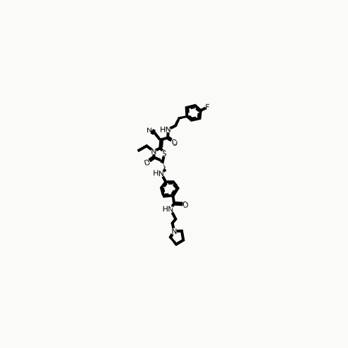 CCN1C(=O)[C@@H](CNc2ccc(C(=O)NCCN3CCCC3)cc2)S/C1=C(/C#N)C(=O)NCCc1ccc(F)cc1